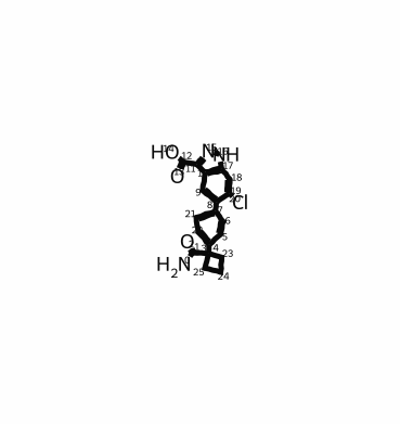 NC(=O)C1(c2ccc(-c3cc4c(C(=O)O)n[nH]c4cc3Cl)cc2)CCC1